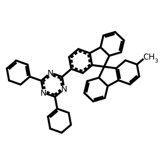 CC1C=CC2=C(C1)C1(c3cc(-c4nc(C5=CC=CCC5)nc(C5=CCCCC5)n4)ccc3C3C=CC=CC31)C1C=CC=CC21